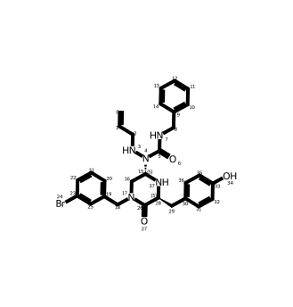 C=CCNN(C(=O)NCc1ccccc1)[C@H]1CN(Cc2cccc(Br)c2)C(=O)[C@H](Cc2ccc(O)cc2)N1